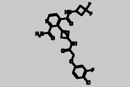 NC(=O)c1nccc(C(=O)NC2CC(F)(F)C2)c1C12CC(NC(=O)COc3ccc(Cl)c(F)c3)(C1)C2